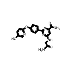 N#Cc1ccc(Oc2ccc(-c3nc(NCC(N)=O)cc(C(N)=O)n3)cc2)nc1